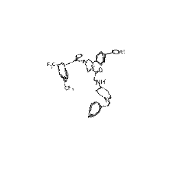 O=C(c1cc(C(F)(F)F)cc(C(F)(F)F)c1)N1CCN(C(=O)CNC2CCN(Cc3ccccc3)CC2)C(c2ccc(O)cc2)C1